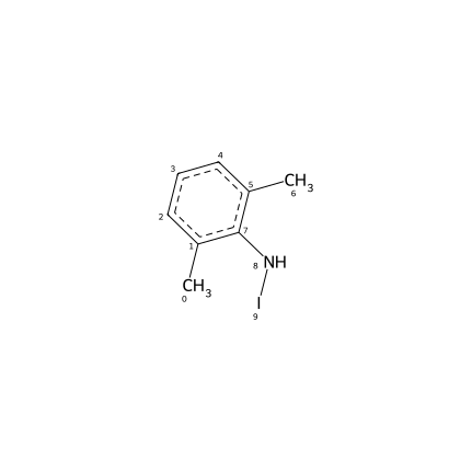 Cc1cccc(C)c1NI